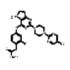 COC(=O)Cc1ccc(Nc2nc(N3CCN(c4ncc(Cl)cn4)CC3)nc3c2[S+]([O-])CC3)cc1F